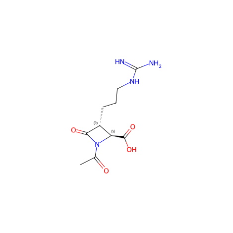 CC(=O)N1C(=O)[C@H](CCCNC(=N)N)[C@H]1C(=O)O